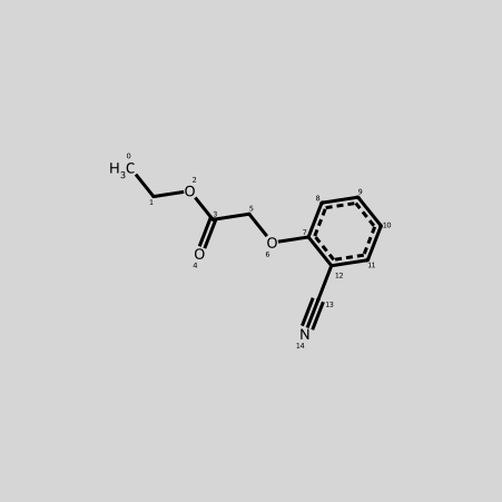 CCOC(=O)COc1ccccc1C#N